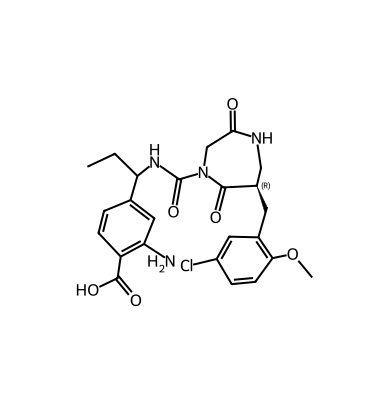 CCC(NC(=O)N1CC(=O)NC[C@@H](Cc2cc(Cl)ccc2OC)C1=O)c1ccc(C(=O)O)c(N)c1